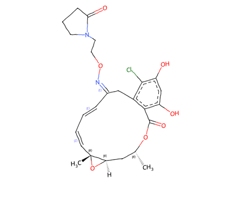 C[C@@H]1C[C@H]2O[C@]2(C)\C=C/C=C/C(=N/OCCN2CCCC2=O)Cc2c(Cl)c(O)cc(O)c2C(=O)O1